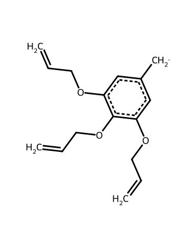 [CH2]c1cc(OCC=C)c(OCC=C)c(OCC=C)c1